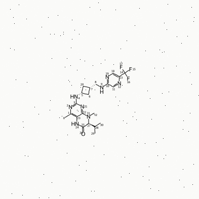 Cc1nc(N[C@H]2C[C@@H](CNc3cnc(C(F)(F)F)cn3)C2)nc2c1NC(=O)[C@H](C(C)C)N2C